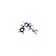 COC(CNC(=O)c1[nH]nc2c1CN(C(=O)C1(C)C=CC(Cl)=C(Cl)C1)[C@H](C)C2)OC